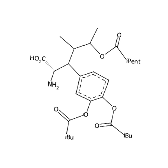 CCCC(C)C(=O)OC(C)C(C)C(c1ccc(OC(=O)C(C)CC)c(OC(=O)C(C)CC)c1)[C@H](N)C(=O)O